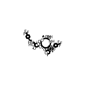 CC[C@H]1OC(=O)[C@H](C)[C@@H](O[C@H]2C[C@@](C)(OC)[C@](O)(CNCCc3ccc(C(F)(F)F)cc3)[C@H](C)O2)[C@H](C)[C@@H](O[C@@H]2O[C@H](C)C[C@H](N(C)S(=O)(=O)Nc3ccc(C(F)(F)F)cc3)[C@H]2O)[C@](C)(O)C[C@@H](C)CN[C@H](C)[C@@H](O)[C@]1(C)O